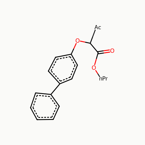 CCCOC(=O)C(Oc1ccc(-c2ccccc2)cc1)C(C)=O